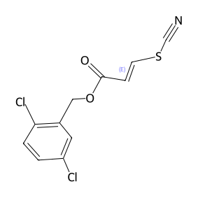 N#CS/C=C/C(=O)OCc1cc(Cl)ccc1Cl